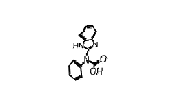 O=C(O)N(c1ccccc1)c1nc2ccccc2[nH]1